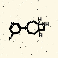 Fc1cncc(N2CC[C@@H]3CN[C@@H]3CC2)c1